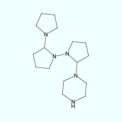 C1CCN(C2CCCN2N2CCCC2N2CCNCC2)C1